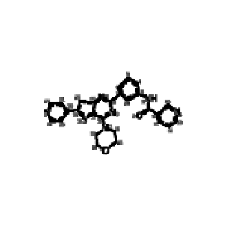 O=C(Nc1cccc(-c2nc(N3CCOCC3)c3sc(-c4ccncc4)cc3n2)c1)c1cccnc1